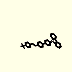 CC(C)(C)c1ccc(/C=C/c2ccc(-c3ccc(-n4c5ccccc5c5ccccc54)cc3)cc2)cc1